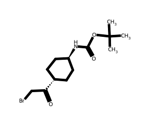 CC(C)(C)OC(=O)N[C@H]1CC[C@H](C(=O)CBr)CC1